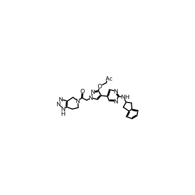 CC(=O)COc1nn(CC(=O)N2CCc3[nH]nnc3C2)cc1-c1cnc(NC2Cc3ccccc3C2)nc1